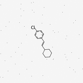 Clc1ccc(C=CC2CCCCC2)cc1